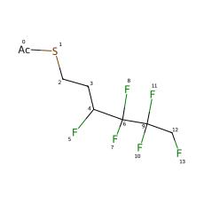 CC(=O)SCCC(F)C(F)(F)C(F)(F)CF